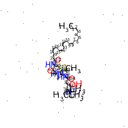 CC/C=C\C/C=C\C/C=C\C/C=C\C/C=C\C/C=C\CCC(=O)NC(CSSC(C)(C)CNC(=O)CC(O)C[N+](C)(C)C)C(N)=O